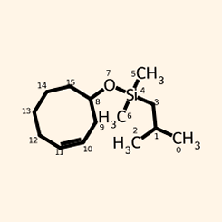 CC(C)C[Si](C)(C)OC1CC=CCCCC1